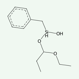 CCOC(CC)O[SiH](O)Cc1ccccc1